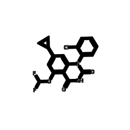 O=c1[nH]c(=O)n(-c2ccccc2Cl)c2cc(C3CC3)cc(OC(F)F)c12